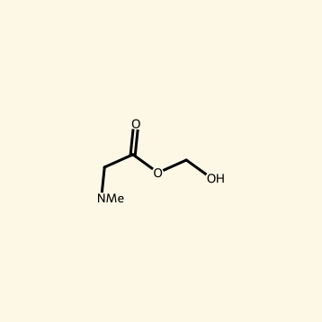 CNCC(=O)OCO